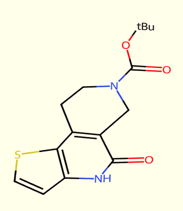 CC(C)(C)OC(=O)N1CCc2c(c(=O)[nH]c3ccsc23)C1